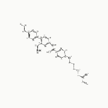 C=CC(=O)COCCCOc1ccc(C(=O)Oc2ccc(-c3ccc(CCC)cc3)c(C=N)c2)cc1